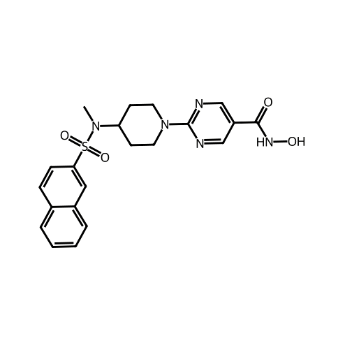 CN(C1CCN(c2ncc(C(=O)NO)cn2)CC1)S(=O)(=O)c1ccc2ccccc2c1